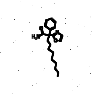 CCCCCCCCCC(C(N)=O)(c1ccccc1)c1ncco1